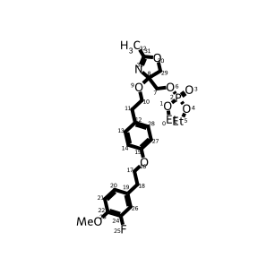 CCOP(=O)(OCC)OCC1(OCCc2ccc(OCCc3ccc(OC)c(F)c3)cc2)COC(C)=N1